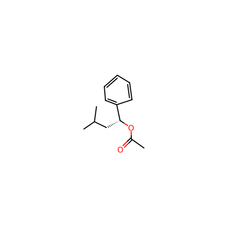 CC(=O)O[C@H](CC(C)C)c1ccccc1